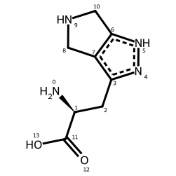 N[C@@H](Cc1n[nH]c2c1CNC2)C(=O)O